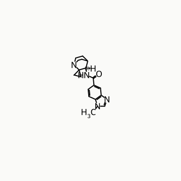 Cn1cnc2cc(C(=O)N[C@H]3C4CCN(CC4)C34CC4)ccc21